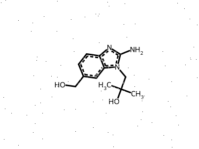 CC(C)(O)Cn1c(N)nc2ccc(CO)cc21